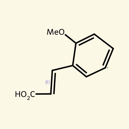 COc1cc[c]cc1/C=C/C(=O)O